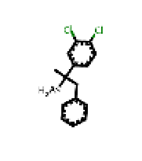 CC([AsH2])(Cc1ccccc1)c1ccc(Cl)c(Cl)c1